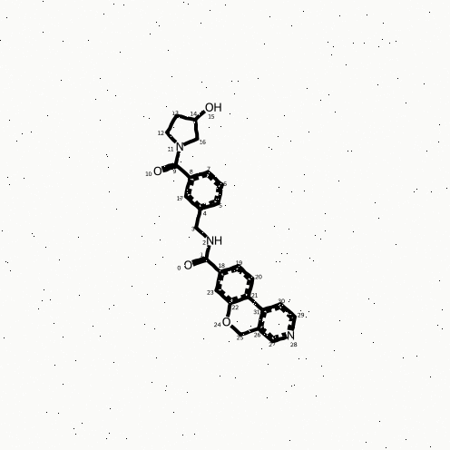 O=C(NCc1cccc(C(=O)N2CCC(O)C2)c1)c1ccc2c(c1)OCc1cnccc1-2